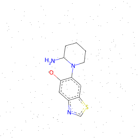 NC1CCCCN1c1cc2scnc2cc1[O]